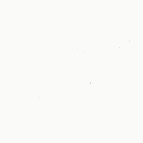 Cn1cc(-c2cc(-c3cnccn3)c3c(-c4ccc(CC(=O)Nc5ccncc5)cc4)cnn3c2)cn1